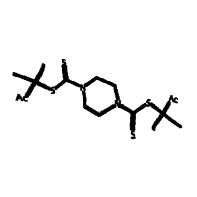 CC(=O)C(C)(C)SC(=S)N1CCN(C(=S)SC(C)(C)C(C)=O)CC1